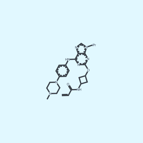 C=CC(=O)NC1CC(Oc2nc(Nc3ccc(N4CCN(C)CC4)cc3)c3ncn(C(C)C)c3n2)C1